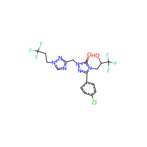 O=c1n(Cc2ncn(CCC(F)(F)F)n2)nc(-c2ccc(Cl)cc2)n1CC(O)C(F)(F)F